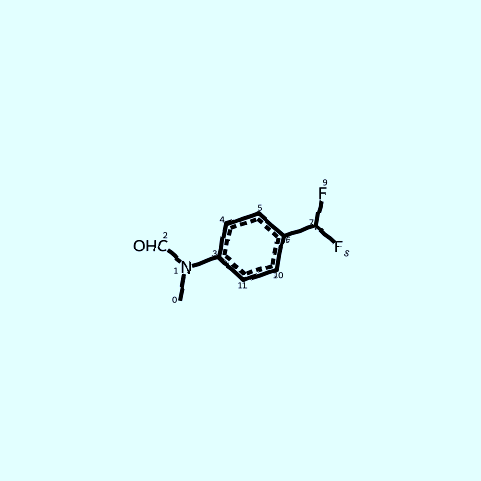 CN(C=O)c1ccc([C](F)F)cc1